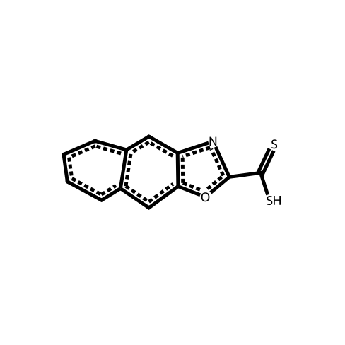 S=C(S)c1nc2cc3ccccc3cc2o1